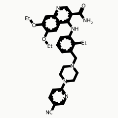 CCOc1cc2ncc(C(N)=O)c(Nc3cccc(CN4CCN(c5ccc(C#N)cn5)CC4)c3CC)c2cc1OCC